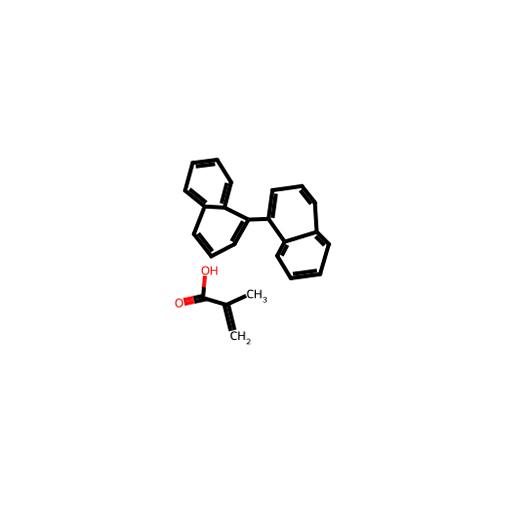 C=C(C)C(=O)O.c1ccc2c(-c3cccc4ccccc34)cccc2c1